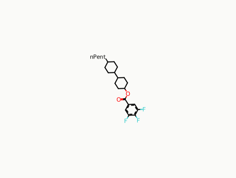 CCCCCC1CCC(C2CCC(OC(=O)c3cc(F)c(F)c(F)c3)CC2)CC1